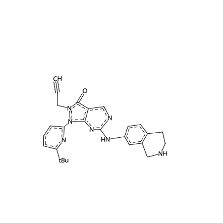 C#CCn1c(=O)c2cnc(Nc3ccc4c(c3)CNCC4)nc2n1-c1cccc(C(C)(C)C)n1